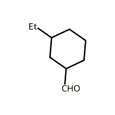 CCC1CCCC(C=O)C1